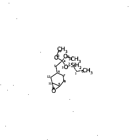 CC[SiH2]OC(CC1CCC2OC2C1)(OC)OC